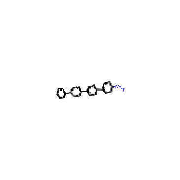 Nc1ccc(-c2ccc(-c3ccc(-c4ccccc4)cc3)cc2)cc1